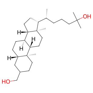 C[C@H](CCCC(C)(C)O)[C@H]1CC[C@H]2[C@@H]3CC[C@H]4CC(CO)CC[C@]4(C)[C@H]3CC[C@]12C